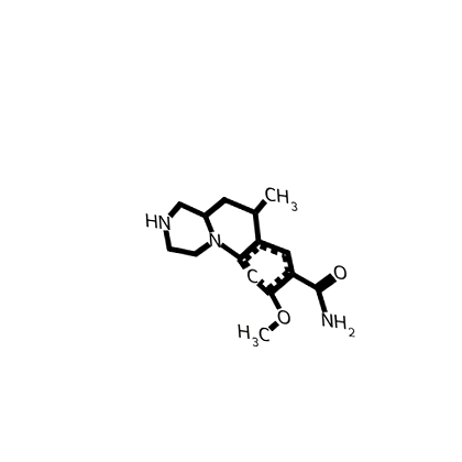 COc1cc2c(cc1C(N)=O)C(C)CC1CNCCN21